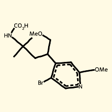 COCC(CC(C)(C)NC(=O)O)c1cc(OC)ncc1Br